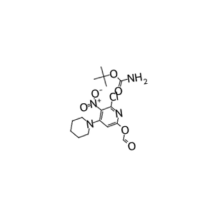 CC(C)(C)OC(N)=O.O=COc1cc(N2CCCCC2)c([N+](=O)[O-])c(Cl)n1